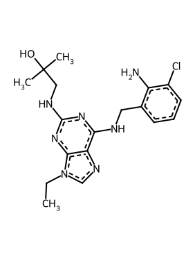 CCn1cnc2c(NCc3cccc(Cl)c3N)nc(NCC(C)(C)O)nc21